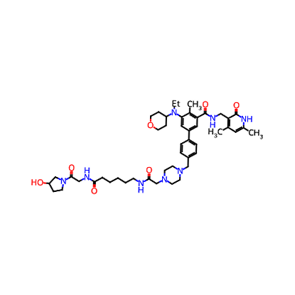 CCN(c1cc(-c2ccc(CN3CCN(CC(=O)NCCCCCC(=O)NCC(=O)N4CCC(O)C4)CC3)cc2)cc(C(=O)NCc2c(C)cc(C)[nH]c2=O)c1C)C1CCOCC1